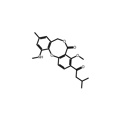 CNc1cc(C)cc2c1Oc1ccc(C(=O)CC(C)C)c(OC)c1C(=O)OC2